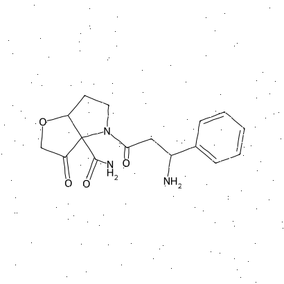 NC(=O)C12C(=O)COC1CCN2C(=O)[CH]C(N)c1ccccc1